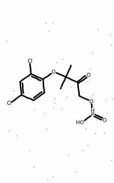 CC(C)(Oc1ccc(Cl)cc1Cl)C(=O)CO[PH](=O)O